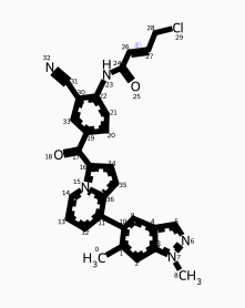 Cc1cc2c(cnn2C)cc1-c1cccn2c(C(=O)c3ccc(NC(=O)/C=C/CCl)c(C#N)c3)ccc12